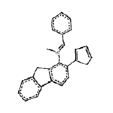 [CH3][Hf](=[CH]c1ccccc1)[c]1c(C2=CC=CC2)ccc2c1Cc1ccccc1-2